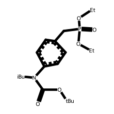 CCOP(=O)(Cc1ccc(N(C(=O)OC(C)(C)C)C(C)CC)cc1)OCC